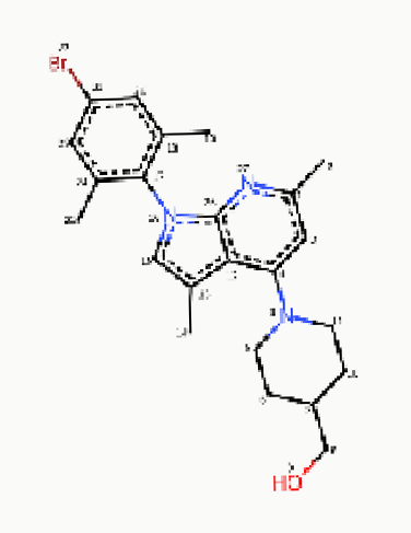 Cc1cc(N2CCC(CO)CC2)c2c(C)cn(-c3c(C)cc(Br)cc3C)c2n1